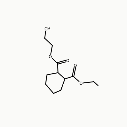 CCOC(=O)C1CCCCC1C(=O)OCCO